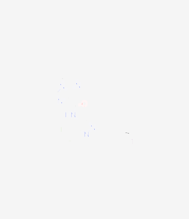 O=C(Nc1cn([C@H]2CC[C@H](CI)CC2)nc1C(F)F)c1ncn2cccnc12